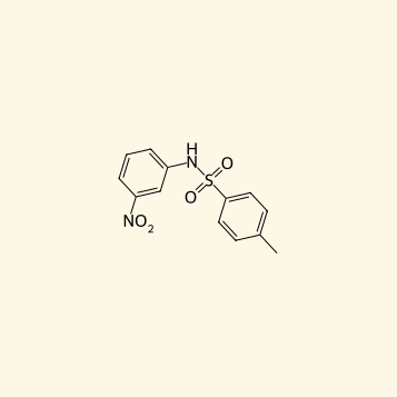 Cc1ccc(S(=O)(=O)Nc2cccc([N+](=O)[O-])c2)cc1